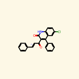 O=C(/C=C/c1ccccc1)c1c(-c2ccccc2)c2cc(Cl)ccc2[nH]c1=O